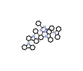 c1ccc(-c2nc(-c3ccccc3)nc(-c3c(-c4ccccc4-n4c5ccccc5c5c(-n6c7ccccc7c7ccccc76)cccc54)cccc3-n3c4ccccc4c4c(-n5c6ccccc6c6ccccc65)cccc43)n2)cc1